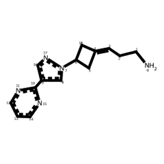 NCCC=C1CC(n2cc(-c3ncccn3)cn2)C1